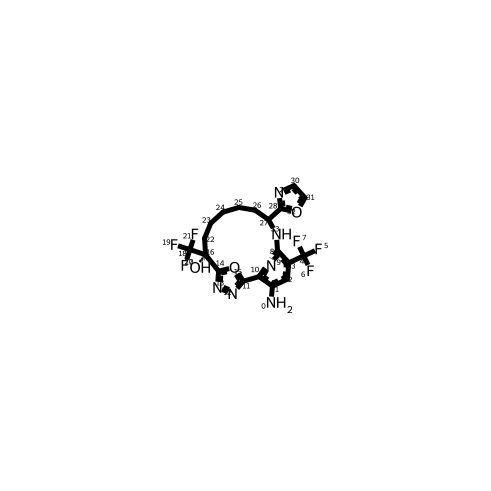 Nc1cc(C(F)(F)F)c2nc1-c1nnc(o1)[C@@](O)(C(F)(F)F)CCCCCC(c1ncco1)N2